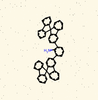 Nc1c(-c2ccc3c(c2)-c2ccccc2C32c3ccccc3-c3ccccc32)cccc1-c1ccc2c(c1)-c1ccccc1C21c2ccccc2-c2ccccc21